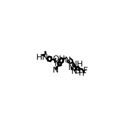 C=CC(=C)Nc1ccc(C(O)Cn2c(C#N)cc3cc(CN4CCC(Nc5ncnc6sc(CC(F)(F)F)cc56)CC4)ccc32)cc1